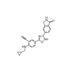 N#Cc1cc(C2=NC(c3ccc4c(c3)CNC4=O)NO2)ccc1NCC1CC1